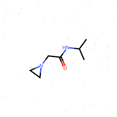 CC(C)NC(=O)CN1CC1